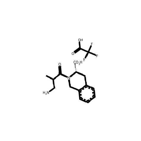 CC(CN)C(=O)N1Cc2ccccc2C[C@H]1C(=O)O.O=C(O)C(F)(F)F